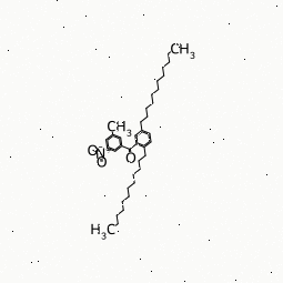 CCCCCCCCCCCCc1ccc(CCCCCCCCCCCC)c(C(=O)c2cc(C)cc([N+](=O)[O-])c2)c1